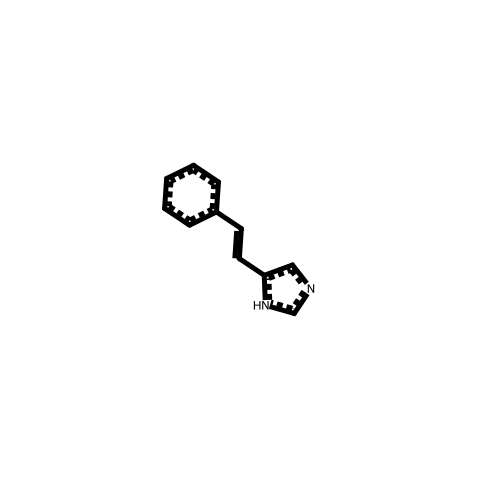 C(=C\c1cnc[nH]1)/c1ccccc1